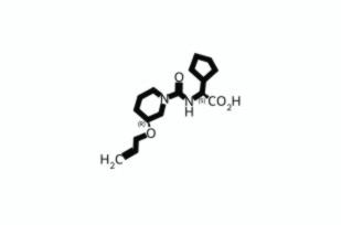 C=CCO[C@@H]1CCCN(C(=O)N[C@H](C(=O)O)C2CCCC2)C1